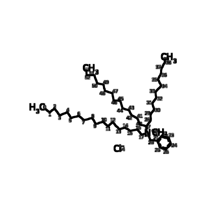 CCCCCCCCCCCCCCCCCC[N+](C)(Cc1ccccc1)C(CCCCCCCCCCCC)CCCCCCCCCCCCCC.[Cl-]